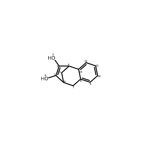 OC1=C(O)C2CC1Cc1ccccc12